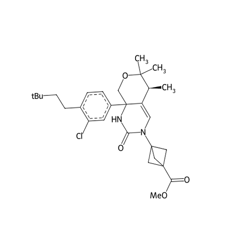 COC(=O)C12CC(N3C=C4[C@H](C)C(C)(C)OCC4(c4ccc(CCC(C)(C)C)c(Cl)c4)NC3=O)(C1)C2